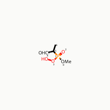 COP(=O)(OO)C(C)C=O